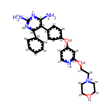 Nc1nc(N)c(-c2ccc(Oc3ccnc(OCCN4CCOCC4)c3)cc2)c(-c2ccccc2)n1